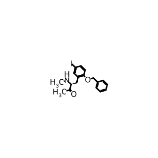 CN[C@@H](Cc1cc(I)ccc1OCc1ccccc1)C(C)=O